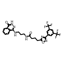 O=C(CCCc1nc(-c2cc(C(F)(F)F)cc(C(F)(F)F)c2)no1)NCCCNc1n[nH]c(=O)c2ccccc12